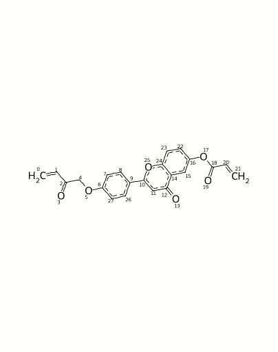 C=CC(=O)COc1ccc(-c2cc(=O)c3cc(OC(=O)C=C)ccc3o2)cc1